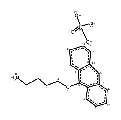 NCCCCOc1c2ccccc2cc2ccccc12.O=P(O)(O)O